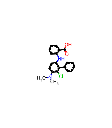 CN(C)c1ccc(Nc2ccccc2C(=O)O)c(-c2ccccc2)c1Cl